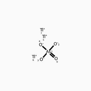 O=[As]([O-])([O-])[O-].[Tl+].[Tl+].[Tl+]